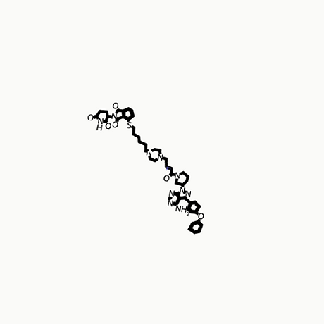 Nc1ncnc2c1c(-c1ccc(Oc3ccccc3)cc1)nn2C1CCCN(C(=O)/C=C/CN2CCN(CCCCCCSc3cccc4c3C(=O)N(C3CCC(=O)NC3=O)C4=O)CC2)C1